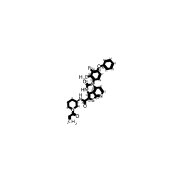 C=CC(=O)N1CCC[C@@H](NC(=O)c2sc3nccc4c3c2NC(=O)N4c2ccc(Oc3ccccc3)c(F)c2C)C1